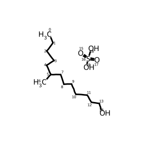 CCCCCC(C)CCCCCCCO.O=S(=O)(O)O